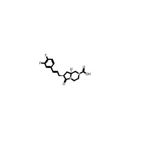 O=C(O)N1CCN2C(=O)[C@@H](C/C=C/c3ccc(F)c(F)c3)C[C@H]2C1